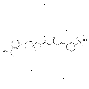 CNS(=O)(=O)c1cccc(OCC(O)CN[C@H]2COC3(CCN(c4nccc(C(=O)O)n4)CC3)C2)c1